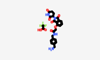 NCc1ccc(CNC(=O)COc2cccc3c2C(=O)N(C2CCC(=O)NC2=O)C3=O)cc1.O=C(O)C(F)(F)F